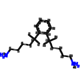 CC(C)(CCCCN)c1ccccc1C(C)(C)CCCCN